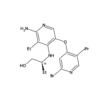 CCc1c(N)ncc(Oc2cc(Br)ncc2C(C)C)c1N[C@@H](CC)CO